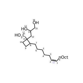 CCCCCCCC/C=C\CCCCCC1CCC1(CC(O)CO)C(=O)O